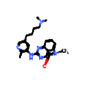 Cc1ncc(CCCCN(C)C)cc1NC1=NCC23CC(=O)CCN(C(F)(F)F)C2=CC=CC3=N1